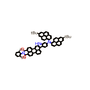 CC(C)c1cccc(C(C)C)c1N1C(=O)c2ccc3c4cccc5c6c(cc(c7ccc(c2c37)C1=O)c45)[nH]c1cc(N(c2ccc3ccc4cc(C(C)(C)C)cc5ccc2c3c45)c2ccc3ccc4cc(C(C)(C)C)cc5ccc2c3c45)ccc16